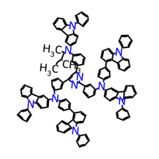 CC[C@@H](C)C(C)N(c1cccc(-c2cc(-c3cccc(N(c4ccc(-c5cccc6c5c5ccccc5n6-c5ccccc5)cc4)c4ccc5c(c4)c4ccccc4n5-c4ccccc4)c3)nc(-c3cccc(N(c4ccc(-c5cccc6c5c5ccccc5n6-c5ccccc5)cc4)c4ccc5c(c4)c4ccccc4n5-c4ccccc4)c3)n2)c1)c1ccc2c(c1)c1ccccc1n2-c1ccccc1